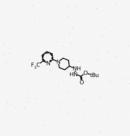 CC(C)(C)OC(=O)NNC1CCN(c2cccc(C(F)(F)F)n2)CC1